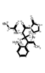 C/C=C(\c1ccccc1N)C(C)(C)[C@H](NC(=O)OC(C)(C)C)C(=O)N1C(=O)OC[C@@H]1C(C)C